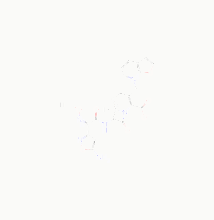 CO/N=C(\C(=O)NC1C(=O)N2C(C(=O)[O-])=C(C[n+]3cccc4ccoc43)CS[C@H]12)c1cc(N)on1